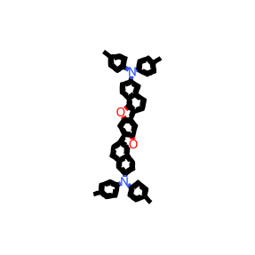 Cc1ccc(N(c2ccc(C)cc2)c2ccc3c(ccc4c5cc6oc7c8ccc(N(c9ccc(C)cc9)c9ccc(C)cc9)cc8ccc7c6cc5oc34)c2)cc1